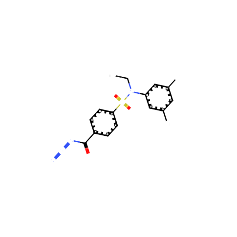 Cc1cc(C)cc(N(CC(C)C)S(=O)(=O)c2ccc(C(=O)N=[N+]=[N-])cc2)c1